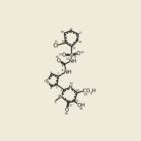 Cn1c(-c2cscc2NC(=O)NS(=O)(=O)c2ccccc2Cl)nc(C(=O)O)c(O)c1=O